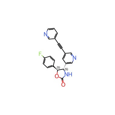 O=C1N[C@@H](c2cncc(C#Cc3cccnc3)c2)[C@H](c2ccc(F)cc2)O1